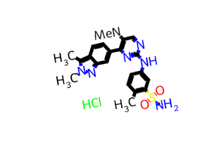 CNc1cnc(Nc2ccc(C)c(S(N)(=O)=O)c2)nc1-c1ccc2c(C)n(C)nc2c1.Cl